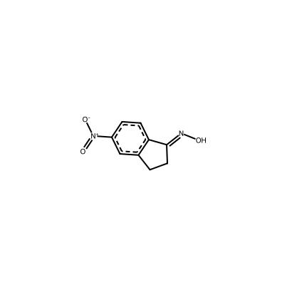 O=[N+]([O-])c1ccc2c(c1)CC/C2=N\O